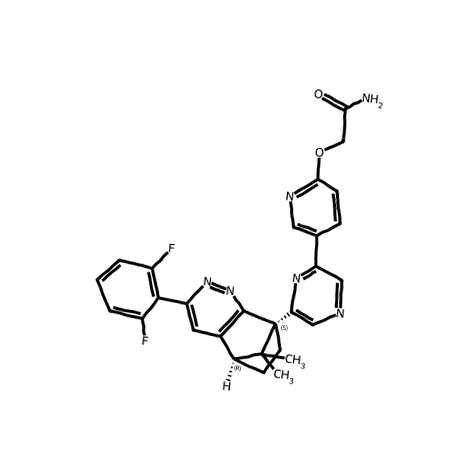 CC1(C)[C@H]2CC[C@]1(c1cncc(-c3ccc(OCC(N)=O)nc3)n1)c1nnc(-c3c(F)cccc3F)cc12